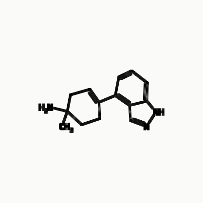 CC1(N)CC=C(c2cccc3[nH]ncc23)CC1